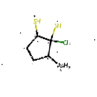 SC1CCC([AsH2])C1(S)Cl